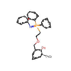 O=Cc1cccc(COCCP(=Nc2ccccc2)(c2ccccc2)c2ccccc2)c1O